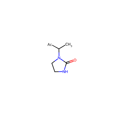 CC(=O)C(C)N1CCNC1=O